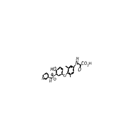 Cc1cc(NC(=O)C(=O)O)cc(C)c1Oc1ccc(O)c(S(=O)(=O)Nc2cccnc2)c1